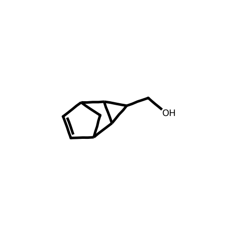 OCC1C2C3C=CC(C3)C12